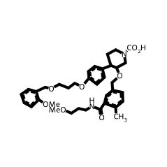 COCCCNC(=O)c1cc(COC2CN(C(=O)O)CCC2c2ccc(OCCCOCc3ccccc3OC)cc2)ccc1C